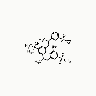 CC(C)c1cc(CC(C)c2cc(CC(C)c3cccc(S(=O)(=O)C4CC4)c3)cc(C(C)(C)C#N)c2)cc(S(C)(=O)=O)c1